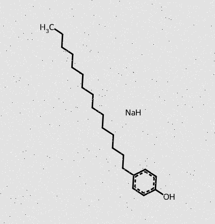 CCCCCCCCCCCCCCCc1ccc(O)cc1.[NaH]